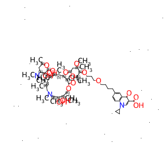 CC[C@H]1OC(=O)[C@H](C)[C@@H](O[C@H]2C[C@@](C)(OC)[C@@H](OCCCOCCCCc3ccc4c(c3)c(=O)c(C(=O)O)cn4C3CC3)[C@H](C)O2)[C@H](C)[C@@H](O[C@@H]2O[C@H](C)C[C@H](N(C)C)[C@H]2O)[C@](C)(O)C[C@@H](C)CN(C)[C@H](C)[C@@H](O)[C@]1(C)O